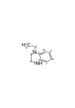 [CH2]CN1CCNc2ccccc21